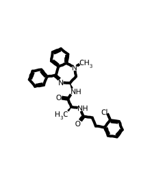 C[C@H](NC(=O)CCc1ccccc1Cl)C(=O)N[C@@H]1CN(C)c2ccccc2C(c2ccccc2)=N1